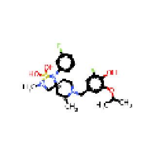 CC(C)Oc1cc(CN2CC[C@@]3(C[C@@H]2C)CN(C)S(O)(O)N3c2cccc(F)c2)cc(F)c1O